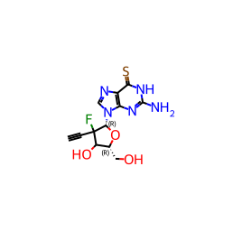 C#CC1(F)C(O)[C@@H](CO)O[C@H]1n1cnc2c(=S)[nH]c(N)nc21